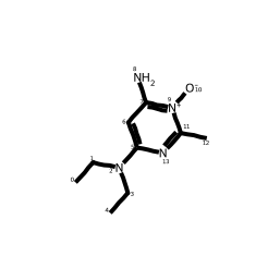 CCN(CC)c1cc(N)[n+]([O-])c(C)n1